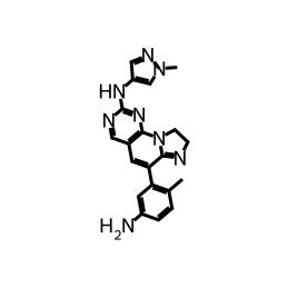 Cc1ccc(N)cc1C1=Cc2cnc(Nc3cnn(C)c3)nc2N2CCN=C12